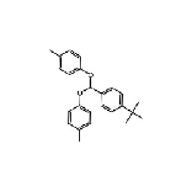 Cc1ccc(OC(Oc2ccc(C)cc2)c2ccc(C(C)(C)C)cc2)cc1